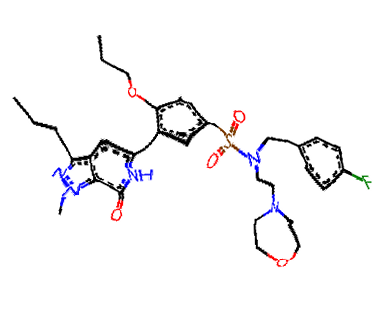 CCCOc1ccc(S(=O)(=O)N(CCN2CCOCC2)Cc2ccc(F)cc2)cc1-c1cc2c(CCC)nn(C)c2c(=O)[nH]1